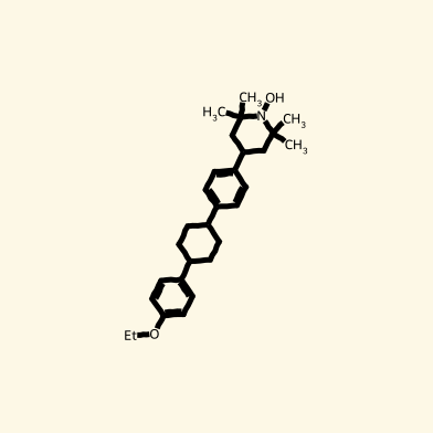 CCOc1ccc(C2CCC(c3ccc(C4CC(C)(C)N(O)C(C)(C)C4)cc3)CC2)cc1